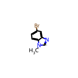 Cn1[c]nc2cc(Br)ccc21